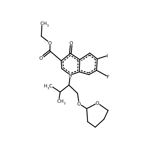 CCOC(=O)c1cn(C(COC2CCCCO2)C(C)C)c2cc(F)c(I)cc2c1=O